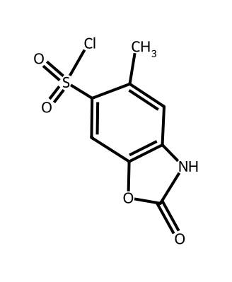 Cc1cc2[nH]c(=O)oc2cc1S(=O)(=O)Cl